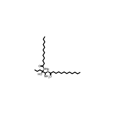 CCCCCCCCCCCC(=O)NC(N)C(O)(CCC)NC(=O)CCCCCCCCCCC